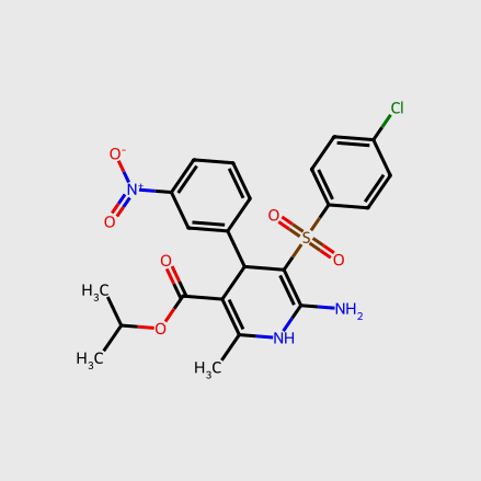 CC1=C(C(=O)OC(C)C)C(c2cccc([N+](=O)[O-])c2)C(S(=O)(=O)c2ccc(Cl)cc2)=C(N)N1